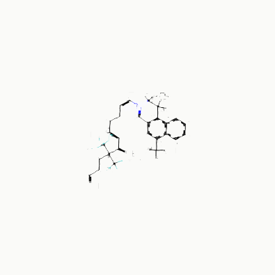 C=CCCC(C(=C)C=C(C)CC/C=C\[N+]1=Cc2cc(C(C)(C)C)c3ccccc3c2C(C)(C)C1(C)C)(C(F)(F)F)C(F)(F)F